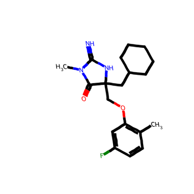 Cc1ccc(F)cc1OCC1(CC2CCCCC2)NC(=N)N(C)C1=O